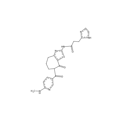 CNc1ccc(C(=O)C2CCCc3nc(NC(=O)CCc4ncc[nH]4)sc3C2=O)cn1